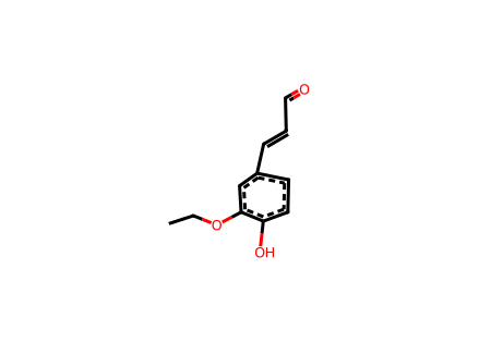 CCOc1cc(C=CC=O)ccc1O